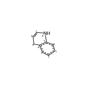 [c]1cccc2c1NC=CC2